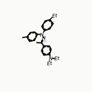 CCc1ccc(N(/N=C(\C)c2ccc(N(CC)CC)cc2)c2ccc(C)cc2)cc1